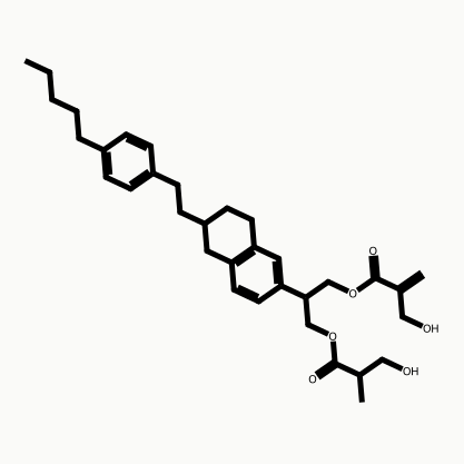 C=C(CO)C(=O)OCC(COC(=O)C(C)CO)c1ccc2c(c1)CCC(CCc1ccc(CCCCC)cc1)C2